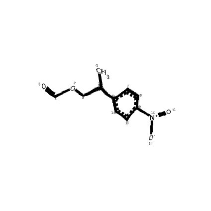 CC(CO[C]=O)c1ccc([N+](=O)[O-])cc1